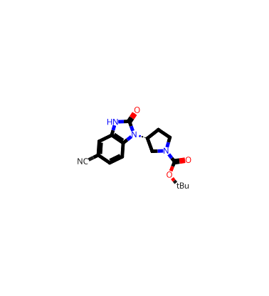 CC(C)(C)OC(=O)N1CC[C@@H](n2c(=O)[nH]c3cc(C#N)ccc32)C1